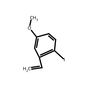 C=Cc1cc(OC)ccc1I